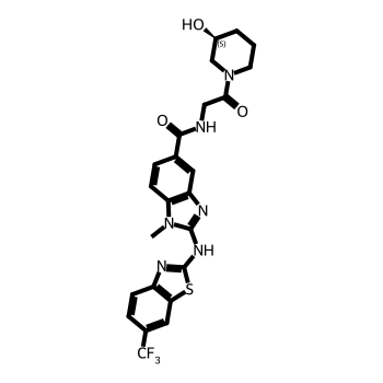 Cn1c(Nc2nc3ccc(C(F)(F)F)cc3s2)nc2cc(C(=O)NCC(=O)N3CCC[C@H](O)C3)ccc21